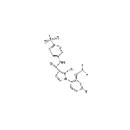 CCc1c(C(=O)Nc2ccc(S(C)(=O)=O)cc2)ccn1-c1ccc(F)cc1OC(F)F